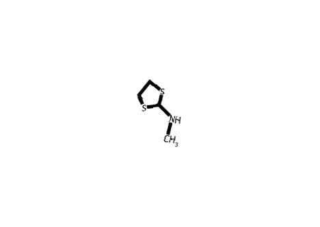 CNC1SCCS1